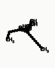 CCCCC/C=C\CCCCCCCC(=O)OC[C@H](COP(=O)(O)OC[C@@H](O)CO)OC(=O)CCCCCCCCCCCCCCCCC